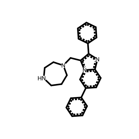 c1ccc(-c2ccc3nc(-c4ccccc4)c(CN4CCCNCC4)n3c2)cc1